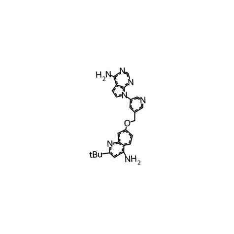 CC(C)(C)c1cc(N)c2ccc(OCc3cncc(-n4ccc5c(N)ncnc54)c3)cc2n1